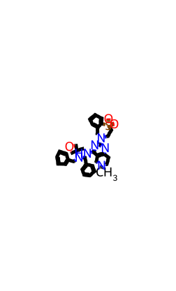 CN1CCc2nc(N3CCS(=O)(=O)c4ccccc4C3)nc(NCC3(N(Cc4ccccc4)Cc4ccccc4)COC3)c2C1